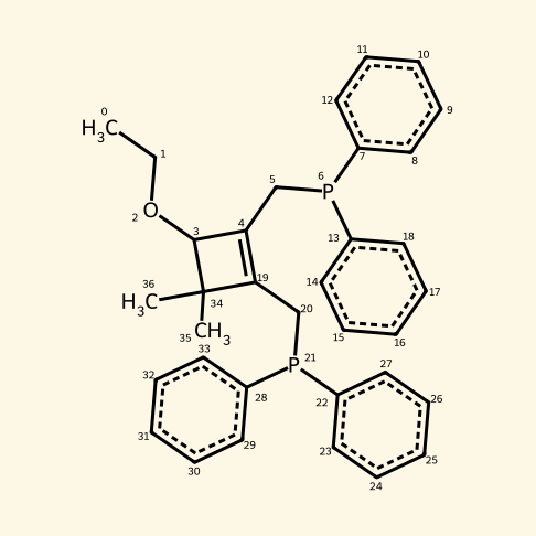 CCOC1C(CP(c2ccccc2)c2ccccc2)=C(CP(c2ccccc2)c2ccccc2)C1(C)C